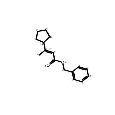 C/C(=C\C(=O)OCc1ccccc1)C1CCCC1